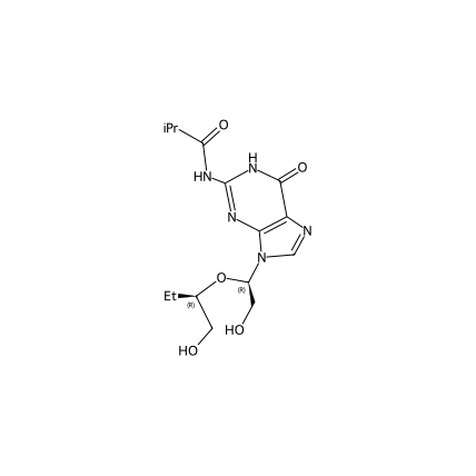 CC[C@H](CO)O[C@H](CO)n1cnc2c(=O)[nH]c(NC(=O)C(C)C)nc21